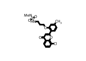 CNS(=O)(=O)NCCCOc1cc(C)ccc1-c1cc(=O)c2cccc(Cl)c2o1